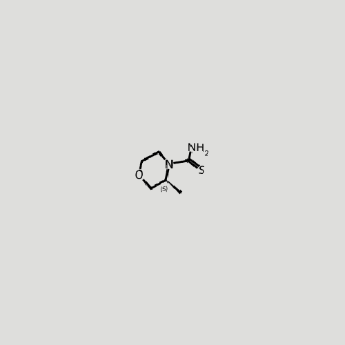 C[C@H]1COCCN1C(N)=S